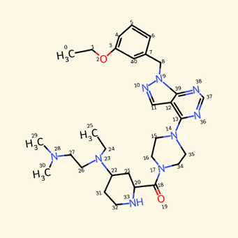 CCOc1cccc(Cn2ncc3c(N4CCN(C(=O)C5CC(N(CC)CCN(C)C)CCN5)CC4)ncnc32)c1